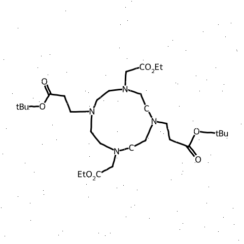 CCOC(=O)CN1CCN(CCC(=O)OC(C)(C)C)CCN(CC(=O)OCC)CCN(CCC(=O)OC(C)(C)C)CC1